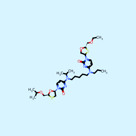 CCCN(CCCCCN(c1ccn([C@H]2CS[C@@H](COC(C)C)O2)c(=O)n1)C(C)C)c1ccn(C2CO[C@H](COCC)S2)c(=O)n1